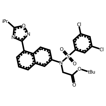 CC(C)c1nc(-c2cccc3cc(N(CC(=O)OC(C)(C)C)S(=O)(=O)c4cc(Cl)cc(Cl)c4)ccc23)no1